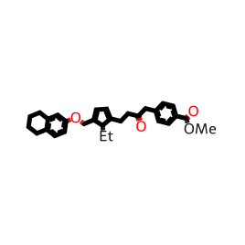 CCC1C(CCC(=O)Cc2ccc(C(=O)OC)cc2)=CC=C1COc1ccc2c(c1)CCCC2